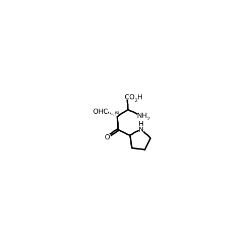 NC(C(=O)O)[C@@H](C=O)C(=O)C1CCCN1